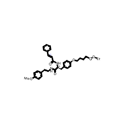 CCOOCCCCOc1ccc(C[C@H](NC(=O)/C=C/c2ccccc2)C(=O)NCCc2ccc(OC)cc2)cc1